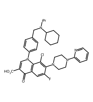 CC(C)N(Cc1ccc(-n2cc(C(=O)O)c(=O)c3cc(F)c(N4CCN(c5ccccn5)CC4)c(Cl)c32)cc1)C1CCCCC1